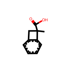 CC1(C(=O)O)Cc2ccccc21